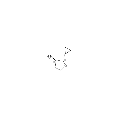 N[C@@H]1CCO[C@H]1C1CC1